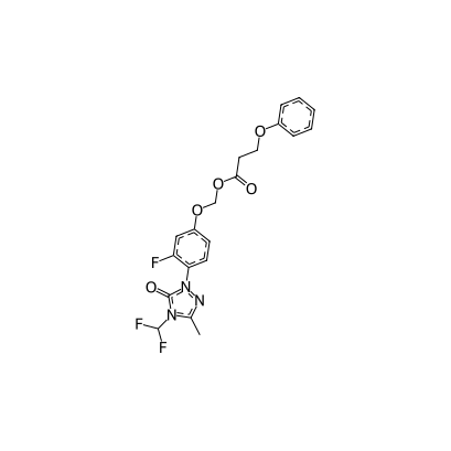 Cc1nn(-c2ccc(OCOC(=O)CCOc3ccccc3)cc2F)c(=O)n1C(F)F